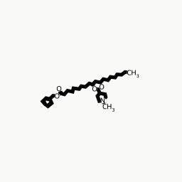 CCCCCCCCCCC(CCCCCCCCC(=O)OCc1ccccc1)OC(=O)C1CCN(C)CC1